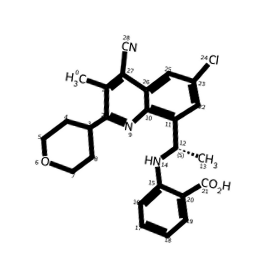 Cc1c(C2CCOCC2)nc2c([C@H](C)Nc3ccccc3C(=O)O)cc(Cl)cc2c1C#N